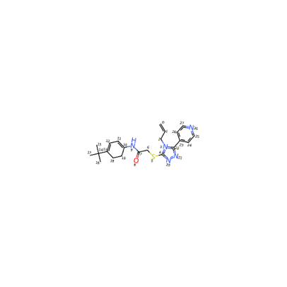 C=CCn1c(SCC(=O)NC2=CC=C(C(C)(C)C)CC2)nnc1-c1ccncc1